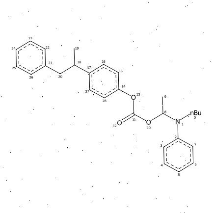 CCCCN(c1ccccc1)C(C)OC(=O)Oc1ccc(C(C)Cc2ccccc2)cc1